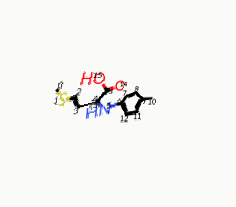 CSCC[C@H](Nc1ccc(C)cc1)C(=O)O